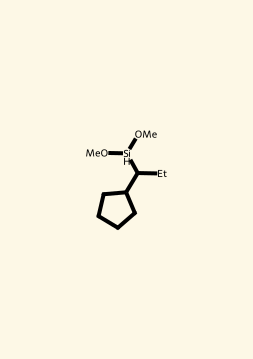 CCC(C1CCCC1)[SiH](OC)OC